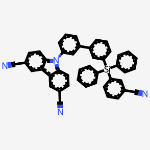 N#Cc1cccc([Si](c2ccccc2)(c2ccccc2)c2cccc(-c3cccc(-n4c5ccc(C#N)cc5c5cc(C#N)ccc54)c3)c2)c1